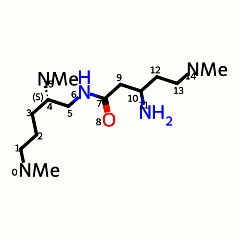 CNCCC[C@@H](CNC(=O)CC(N)CCNC)NC